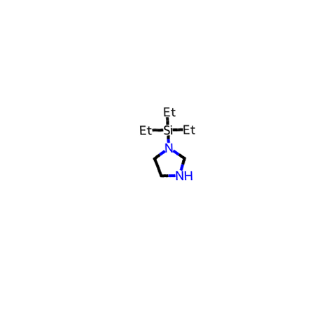 CC[Si](CC)(CC)N1CCNC1